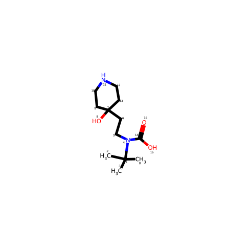 CC(C)(C)N(CCC1(O)CCNCC1)C(=O)O